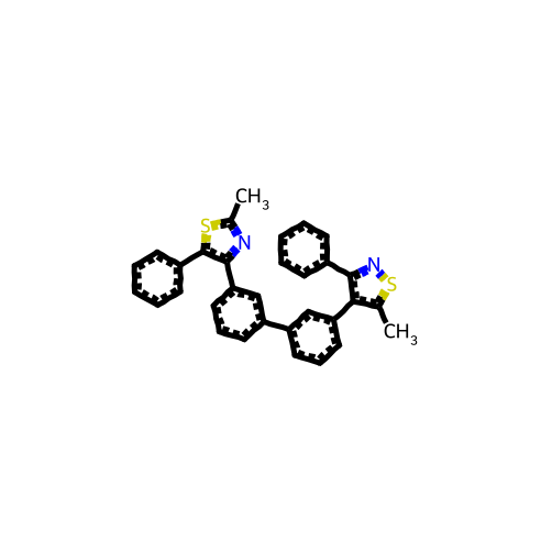 Cc1nc(-c2cccc(-c3cccc(-c4c(-c5ccccc5)nsc4C)c3)c2)c(-c2ccccc2)s1